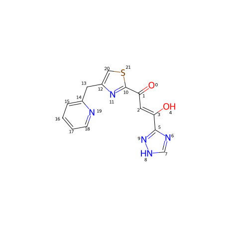 O=C(C=C(O)c1nc[nH]n1)c1nc(Cc2ccccn2)cs1